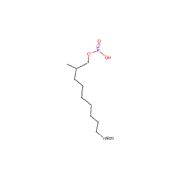 CCCCCCCCCCCCCCCCC(C)CO[PH](=O)O